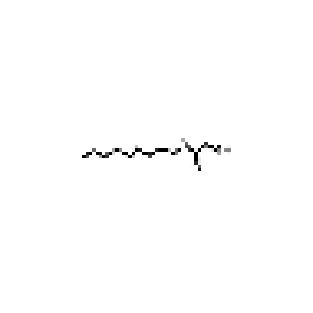 CCCCCCCCCOC(=O)CS